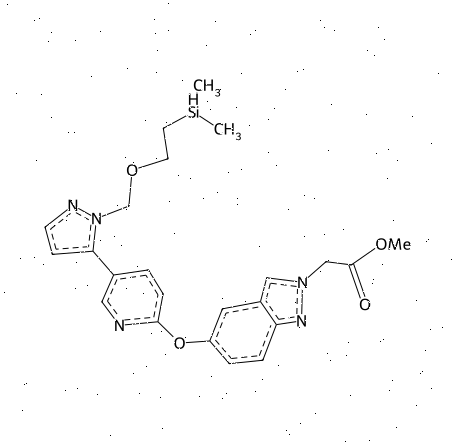 COC(=O)Cn1cc2cc(Oc3ccc(-c4ccnn4COCC[SiH](C)C)cn3)ccc2n1